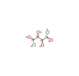 O=C(Cl)C(=O)C(=O)C(=O)Cl